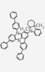 CC12CCCCC1(C)N(c1cc3c4c(c1)N(c1ccc(-c5ccccc5)cc1)c1ccc(-c5ccccc5)cc1B4c1cc(-c4ccccc4)ccc1-3)c1ccccc12